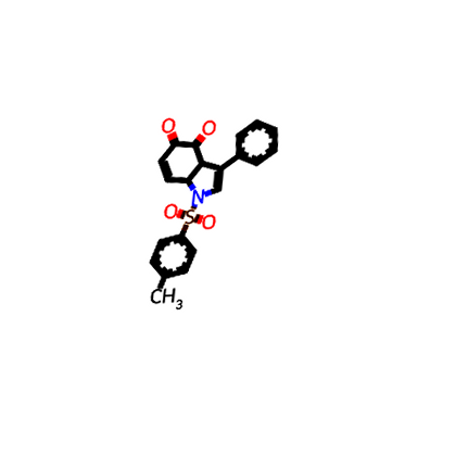 Cc1ccc(S(=O)(=O)N2C=C(c3ccccc3)C3C(=O)C(=O)C=CC32)cc1